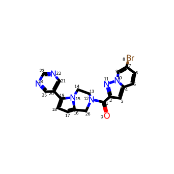 O=C(c1cc2ccc(Br)cn2n1)N1CCn2c(ccc2-c2cncnc2)C1